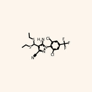 CCSC(SCC)c1c(C#N)nn(-c2c(Cl)cc(C(F)(F)F)cc2Cl)c1N